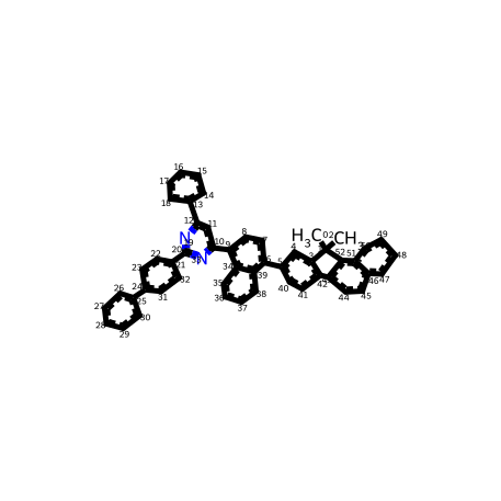 CC1(C)c2cc(-c3ccc(-c4cc(-c5ccccc5)nc(-c5ccc(-c6ccccc6)cc5)n4)c4ccccc34)ccc2-c2ccc3ccccc3c21